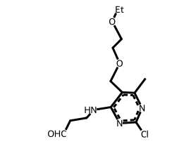 CCOCCOCc1c(C)nc(Cl)nc1NCCC=O